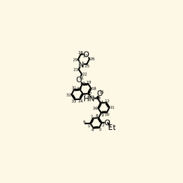 CCOc1ccc(C)cc1-c1cccc(C(=O)Nc2ccc(OCCN3CCOCC3)c3ccccc23)c1